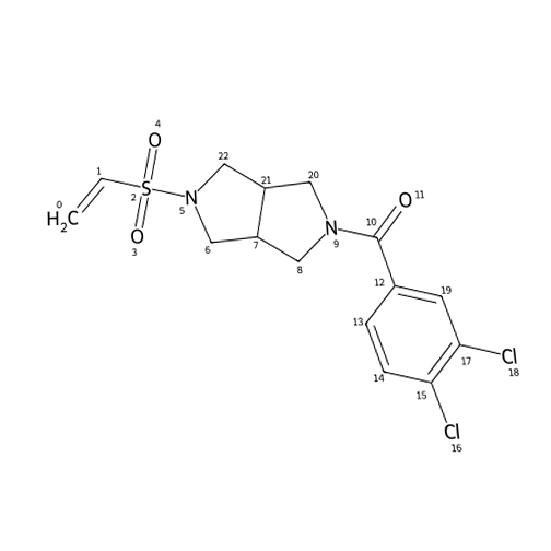 C=CS(=O)(=O)N1CC2CN(C(=O)c3ccc(Cl)c(Cl)c3)CC2C1